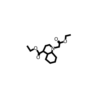 CCOC(=O)CN1CCC(C(=O)OCC)C2CCCCC21